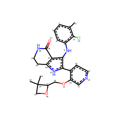 Cc1cccc(Nc2c(-c3ccncc3OCC3OCC3(C)C)[nH]c3c2C(=O)NCC3)c1Cl